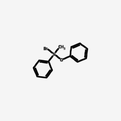 C[Si](Br)(Oc1ccccc1)c1ccccc1